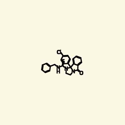 O=C1c2ccccc2C2(c3ccc(Cl)cc3)N1CCN2C(=S)NCc1ccccc1